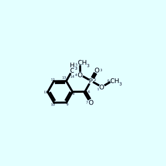 COP(=O)(OC)C(=O)c1ccccc1C